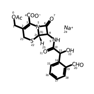 CC(=O)OCC1=C(C(=O)[O-])N2C(=O)C(NC(=O)C(O)c3ccccc3C=O)[C@@H]2SC1.[Na+]